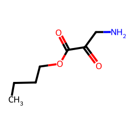 CCCCOC(=O)C(=O)CN